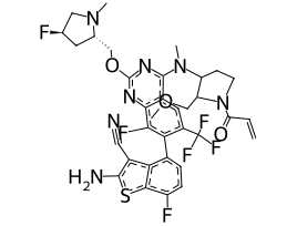 C=CC(=O)N1CCC(N(C)c2nc(OC[C@@H]3C[C@@H](F)CN3C)nc3c(F)c(-c4ccc(F)c5sc(N)c(C#N)c45)c(C(F)(F)F)cc23)C1COC